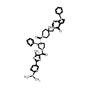 Cc1nc(-c2ccc(N(C)C)nc2)sc1C(=O)N1CC[C@@H](C(=O)N2CCC(O)(Cn3cnc4c(ccn4-c4ccccc4)c3=O)CC2)[C@H](c2ccccc2)C1